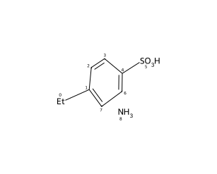 CCc1ccc(S(=O)(=O)O)cc1.N